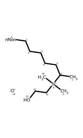 CCCCCCCCCCCCCCC(C)[N+](C)(C)CCO.[Cl-]